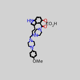 COc1ccc(N2CCN(CCCCc3c[nH]c4ccc(OC(=O)O)c(C(=O)N5CCNCC5)c34)CC2)cc1